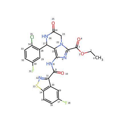 CCOC(=O)c1nc(NC(=O)c2nsc3ccc(F)cc23)c2n1CC(=O)NC2c1cc(F)ccc1Cl